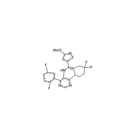 COc1cc(C(=O)Nc2c(-c3cc(F)ccc3F)ncnc2C2CCC(F)(F)CC2)sn1